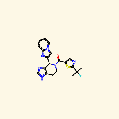 CC(C)(F)c1ncc(C(=O)N2CCc3[nH]cnc3[C@H]2c2cn3ccccc3n2)s1